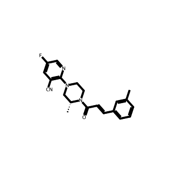 Cc1cccc(C=CC(=O)N2CCN(c3ncc(F)cc3C#N)C[C@H]2C)c1